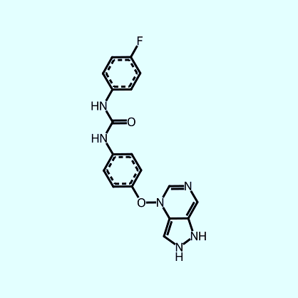 O=C(Nc1ccc(F)cc1)Nc1ccc(ON2C=NC=C3NNC=C32)cc1